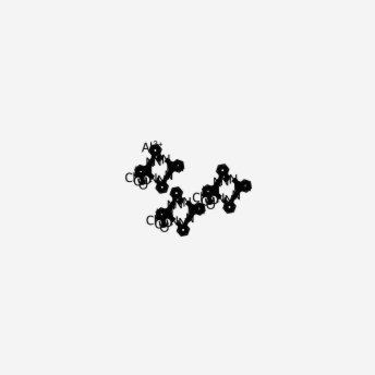 O=S(=O)([O-])c1c(Cl)ccc2c3nc4nc(nc5[nH]c(nc6nc(nc([nH]3)c12)-c1ccccc1-6)c1ccccc51)-c1ccccc1-4.O=S(=O)([O-])c1c(Cl)ccc2c3nc4nc(nc5[nH]c(nc6nc(nc([nH]3)c12)-c1ccccc1-6)c1ccccc51)-c1ccccc1-4.O=S(=O)([O-])c1c(Cl)ccc2c3nc4nc(nc5[nH]c(nc6nc(nc([nH]3)c12)-c1ccccc1-6)c1ccccc51)-c1ccccc1-4.[Al+3]